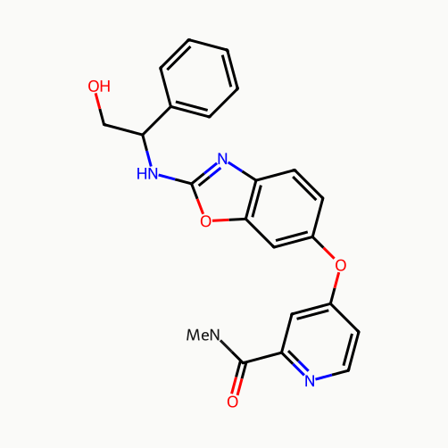 CNC(=O)c1cc(Oc2ccc3nc(NC(CO)c4ccccc4)oc3c2)ccn1